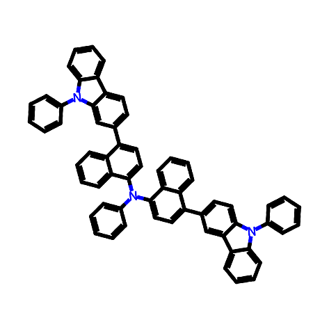 c1ccc(N(c2ccc(-c3ccc4c(c3)c3ccccc3n4-c3ccccc3)c3ccccc23)c2ccc(-c3ccc4c5ccccc5n(-c5ccccc5)c4c3)c3ccccc23)cc1